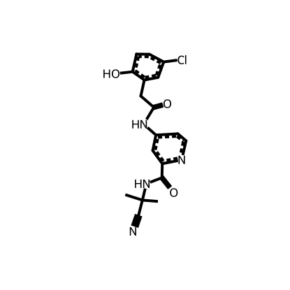 CC(C)(C#N)NC(=O)c1cc(NC(=O)Cc2cc(Cl)ccc2O)ccn1